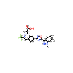 Cn1nc(-c2nc(-c3ccc(CC(N4CC(C(=O)O)C4)C(F)(F)F)cc3)no2)c2c1CC(C)(C)CC2